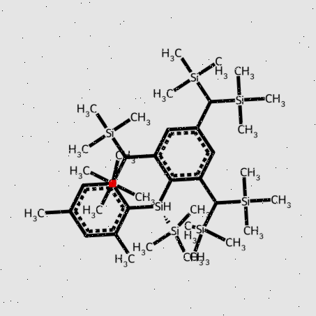 Cc1cc(C)c([Si@H](c2c(C([Si](C)(C)C)[Si](C)(C)C)cc(C([Si](C)(C)C)[Si](C)(C)C)cc2C([Si](C)(C)C)[Si](C)(C)C)[Si](C)(C)C)c(C)c1